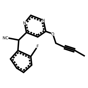 CC#CCOc1cc(C(C#N)c2ccccc2F)ncn1